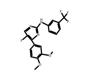 COc1ccc(-c2nc(Nc3cccc(C(F)(F)F)c3)ncc2F)cc1OC